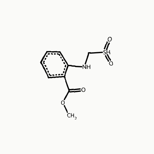 COC(=O)c1ccccc1NC[SH](=O)=O